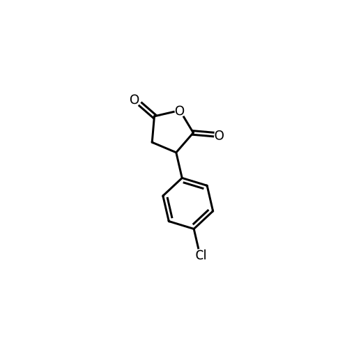 O=C1CC(c2ccc(Cl)cc2)C(=O)O1